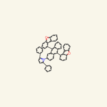 c1ccc(-c2ccc(-c3ccccc3)n2-c2ccc3c(-c4cccc5oc6ccccc6c45)c4ccccc4c(-c4cccc5oc6ccccc6c45)c3c2)cc1